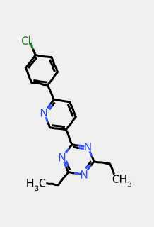 CCc1nc(CC)nc(-c2ccc(-c3ccc(Cl)cc3)nc2)n1